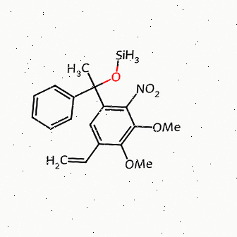 C=Cc1cc(C(C)(O[SiH3])c2ccccc2)c([N+](=O)[O-])c(OC)c1OC